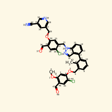 COc1cc(OCc2cccc(-c3cccc4c3cnn4Cc3cc(OCc4cncc(C#N)c4)c(C=O)cc3Cl)c2C)c(Cl)cc1C=O